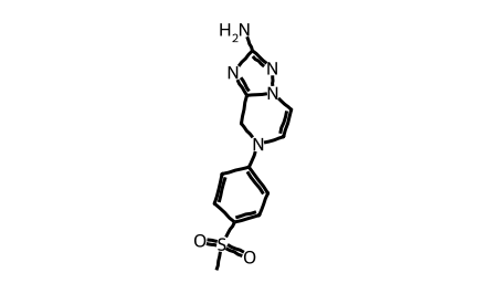 CS(=O)(=O)c1ccc(N2C=Cn3nc(N)nc3C2)cc1